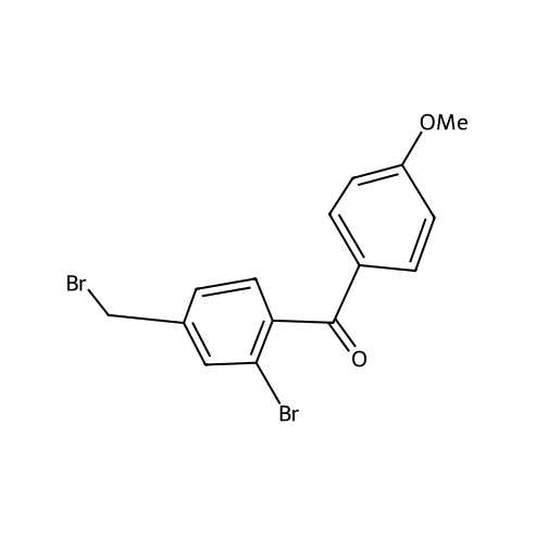 COc1ccc(C(=O)c2ccc(CBr)cc2Br)cc1